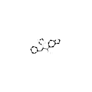 OC(C(=Cc1ccccc1)n1cncn1)c1ccc2occc2c1